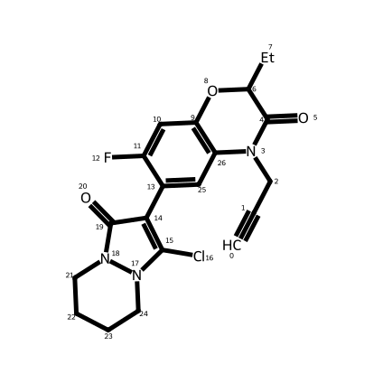 C#CCN1C(=O)C(CC)Oc2cc(F)c(-c3c(Cl)n4n(c3=O)CCCC4)cc21